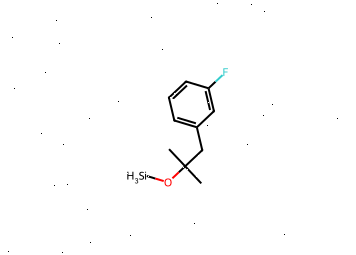 CC(C)(Cc1cccc(F)c1)O[SiH3]